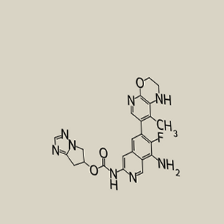 Cc1c(-c2cc3cc(NC(=O)OC4Cc5ncnn5C4)ncc3c(N)c2F)cnc2c1NCCO2